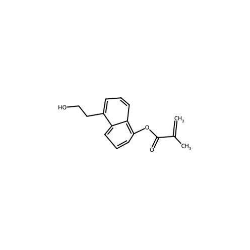 C=C(C)C(=O)Oc1cccc2c(CCO)cccc12